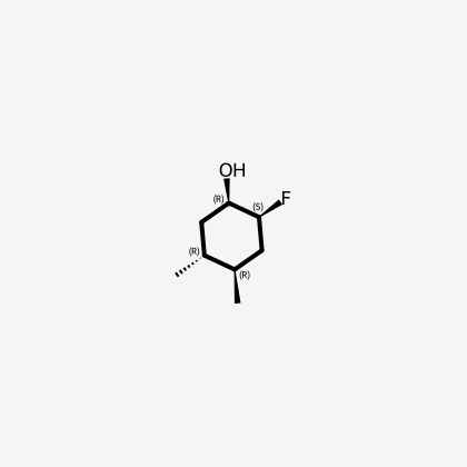 C[C@@H]1C[C@@H](O)[C@@H](F)C[C@H]1C